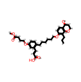 CCCc1c(OCCCCCCc2ccc(OCCCC(=O)OC)cc2C=CC(=O)O)ccc2c1OCCC2=O